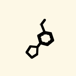 C[CH]c1cccc(C2CCCC2)c1